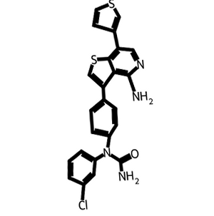 NC(=O)N(c1ccc(-c2csc3c(-c4ccsc4)cnc(N)c23)cc1)c1cccc(Cl)c1